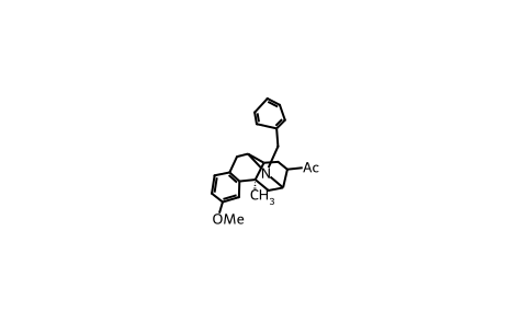 COc1ccc2c(c1)[C@]1(C)CC3C(C(C)=O)CC1C(C2)N3Cc1ccccc1